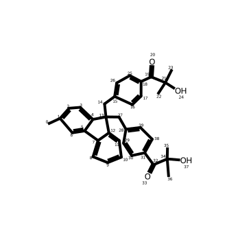 Cc1ccc2c(c1)-c1ccccc1C2(Cc1ccc(C(=O)C(C)(C)O)cc1)Cc1ccc(C(=O)C(C)(C)O)cc1